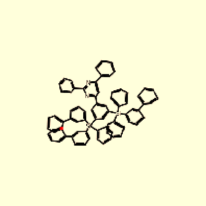 c1ccc(-c2cccc([Si](c3ccccc3)(c3ccccc3)c3cc(-c4cc(-c5ccccc5)nc(-c5ccccc5)n4)cc([Si](c4ccccc4)(c4cccc(-c5ccccc5)c4)c4cccc(-c5ccccc5)c4)c3)c2)cc1